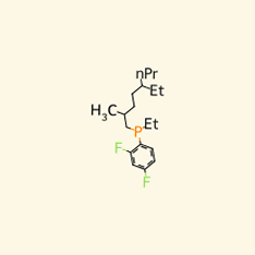 CCCC(CC)CCC(C)CP(CC)c1ccc(F)cc1F